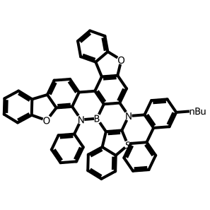 CCCCc1ccc(N2c3cc4oc5ccccc5c4c4c3B(c3c2sc2ccccc32)N(c2ccccc2)c2c-4ccc3c2oc2ccccc23)c(-c2ccccc2)c1